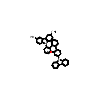 N#CC1=C(c2ccccc2C2=C(n3c4c(c5cc(C#N)ccc53)CC(C#N)C=C4)CCC=C2)CCC(n2c3ccccc3c3ccccc32)=C1